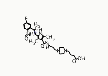 C/C(=C\c1[nH]c(C)c(C(=O)NCCCN2CCN(CCCC(=O)O)CC2)c1C)c1cc(F)ccc1NC=O